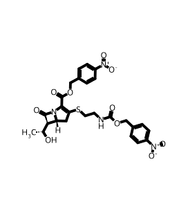 C[C@@H](O)[C@H]1C(=O)N2C(C(=O)OCc3ccc([N+](=O)[O-])cc3)=C(SCCNC(=O)OCc3ccc([N+](=O)[O-])cc3)C[C@H]12